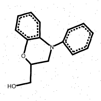 OCC1CN(c2ccccc2)c2ccccc2O1